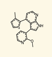 COc1ncccc1-c1c[nH]c2nccc(-c3sccc3C)c12